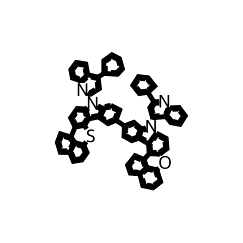 c1ccc(-c2cc(-n3c4cc(-c5ccc6c(c5)c5c7c(ccc5n6-c5cc(-c6ccccc6)c6ccccc6n5)-c5cccc6cccc(c56)S7)ccc4c4c5c(ccc43)Oc3cccc4cccc-5c34)c3ccccc3n2)cc1